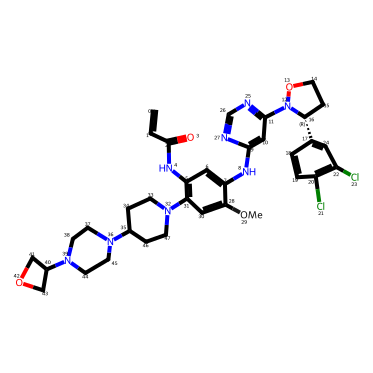 C=CC(=O)Nc1cc(Nc2cc(N3OCC[C@@H]3c3ccc(Cl)c(Cl)c3)ncn2)c(OC)cc1N1CCC(N2CCN(C3COC3)CC2)CC1